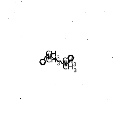 C[N+](C)(CCCCCC[N+](C)(C)Cc1ccccc1)Cc1ccccc1